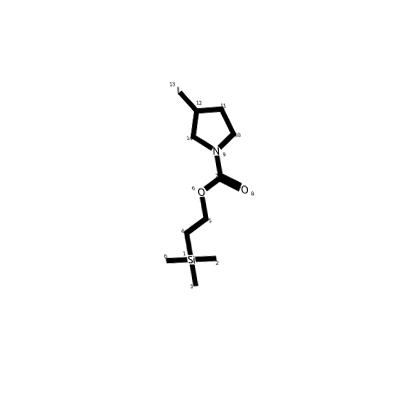 C[Si](C)(C)CCOC(=O)N1CCC(I)C1